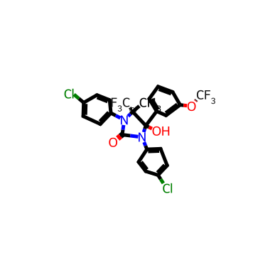 C[C@@]1(C(F)(F)F)N(c2ccc(Cl)cc2)C(=O)N(c2ccc(Cl)cc2)C1(O)c1cccc(OC(F)(F)F)c1